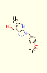 COc1ccc(Cn2cnc3c(CO)c(C)cnc32)cc1